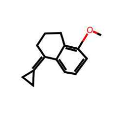 COc1cccc2c1CCCC2=C1CC1